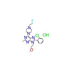 COCCn1c(-c2ccccc2Cl)nc2c(N3CCN(CCF)CC3)nc(C)nc21.Cl